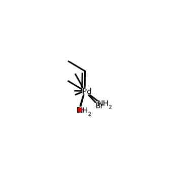 C[CH]=[Pd]([CH3])([CH3])([CH3])([CH3])([NH2])([NH2])([Br])[Br]